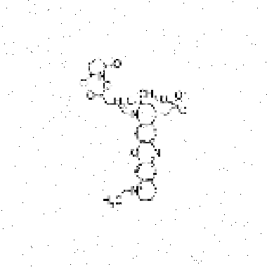 CC[N+]1=c2cc3c(cc2CCC1)=Nc1cc2c(cc1O3)N(CCCC(=O)ON1C(=O)CCC1=O)C(C)(C)CC2CS(=O)(=O)[O-]